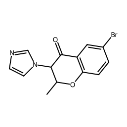 CC1Oc2ccc(Br)cc2C(=O)C1n1ccnc1